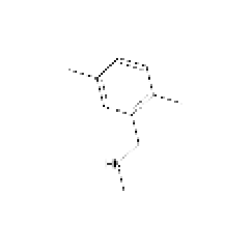 CNCc1cc(C)ccc1C